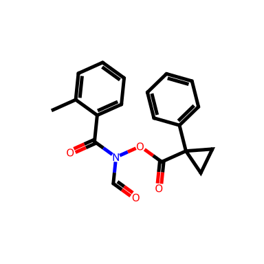 Cc1ccccc1C(=O)N(C=O)OC(=O)C1(c2ccccc2)CC1